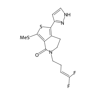 CSc1sc(-c2cc[nH]n2)c2c1C(=O)N(CCC=C(F)F)CC2